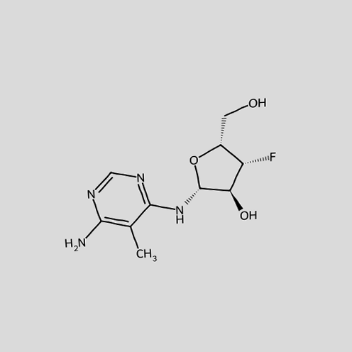 Cc1c(N)ncnc1N[C@@H]1O[C@H](CO)[C@H](F)[C@H]1O